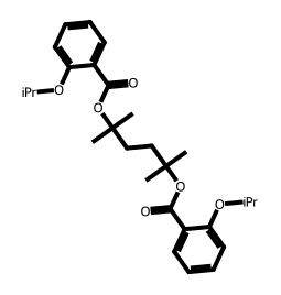 CC(C)Oc1ccccc1C(=O)OC(C)(C)CCC(C)(C)OC(=O)c1ccccc1OC(C)C